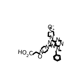 CN(Cc1ccccc1)c1ncnc2c(N3CC[S+]([O-])CC3)nc(N3CCN(C(=O)CCC(=O)O)CC3)nc12